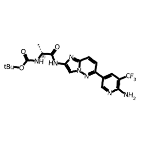 C[C@@H](NC(=O)OC(C)(C)C)C(=O)Nc1cn2nc(-c3cnc(N)c(C(F)(F)F)c3)ccc2n1